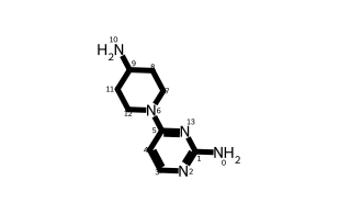 Nc1nccc(N2CCC(N)CC2)n1